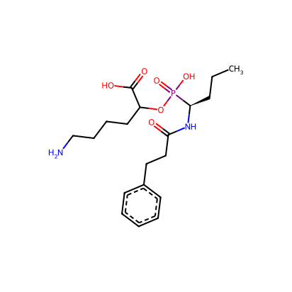 CCC[C@@H](NC(=O)CCc1ccccc1)P(=O)(O)OC(CCCCN)C(=O)O